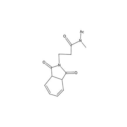 CC(=O)N(C)C(=O)CCN1C(=O)C2C=CC=CC2C1=O